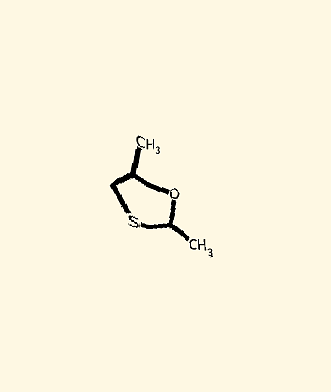 C[C]1OC(C)CS1